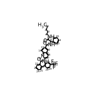 CCCCCNC(=O)C(NC(=O)c1ccc2nc(NC(=O)c3ccccc3-c3ccc(C(F)(F)F)cc3)ccc2c1)c1ccccc1